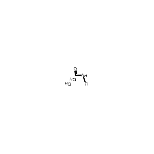 Cl.Cl.O=C[NH][Ti]